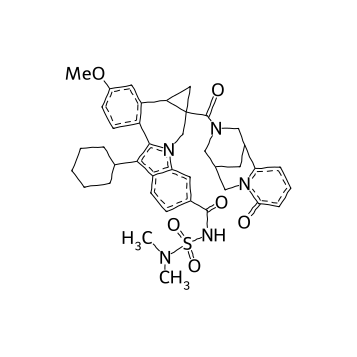 COc1ccc2c(c1)C1CC1(C(=O)N1CC3CC(C1)c1cccc(=O)n1C3)Cn1c-2c(C2CCCCC2)c2ccc(C(=O)NS(=O)(=O)N(C)C)cc21